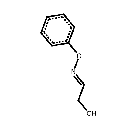 OCC=NOc1ccccc1